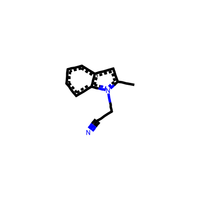 Cc1cc2ccccc2n1CC#N